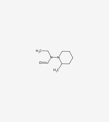 CCN([C]=O)N1CCCCC1C